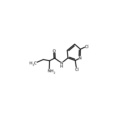 CCC(N)C(=O)Nc1ccc(Cl)nc1Cl